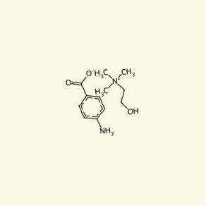 C[N+](C)(C)CCO.Nc1ccc(C(=O)[O-])cc1